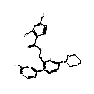 Cc1cc(-c2ccc(N3CCOCC3)cc2CNC(=O)c2ccc(F)cc2C)ccn1